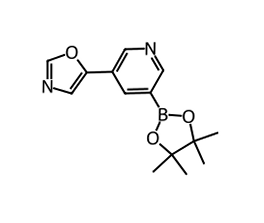 CC1(C)OB(c2cncc(-c3cnco3)c2)OC1(C)C